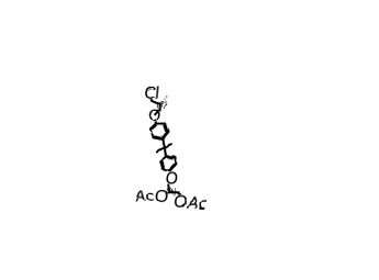 CC(=O)OC[C@@H](COc1ccc(C(C)(C)c2ccc(OC[C@@H](C)CCl)cc2)cc1)OC(C)=O